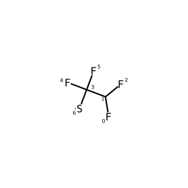 FC(F)C(F)(F)[S]